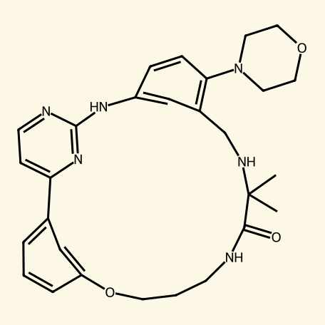 CC1(C)NCc2cc(ccc2N2CCOCC2)Nc2nccc(n2)-c2cccc(c2)OCCCNC1=O